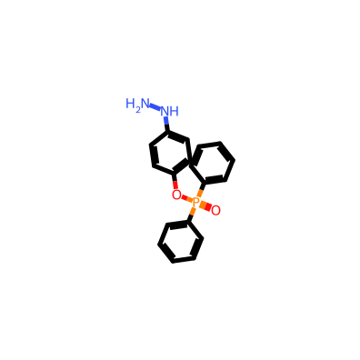 NNc1ccc(OP(=O)(c2ccccc2)c2ccccc2)cc1